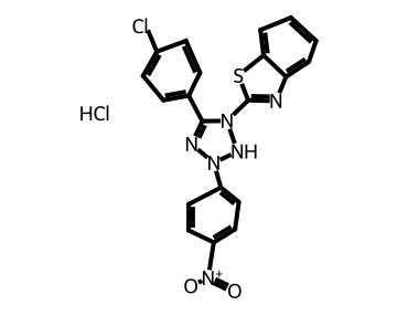 Cl.O=[N+]([O-])c1ccc(N2N=C(c3ccc(Cl)cc3)N(c3nc4ccccc4s3)N2)cc1